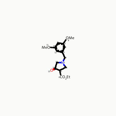 CCOC(=O)C1CN(Cc2cc(OC)cc(OC)c2)CC1=O